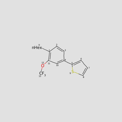 CCCCCCc1ccc(-c2cccs2)cc1OC(F)(F)F